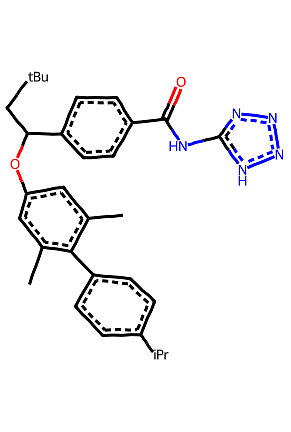 Cc1cc(OC(CC(C)(C)C)c2ccc(C(=O)Nc3nnn[nH]3)cc2)cc(C)c1-c1ccc(C(C)C)cc1